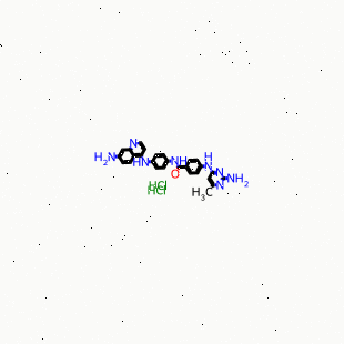 Cc1cc(Nc2ccc(C(=O)Nc3ccc(Nc4ccnc5cc(N)ccc45)cc3)cc2)nc(N)n1.Cl.Cl